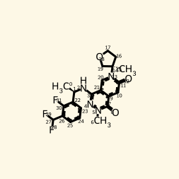 C[C@@H](Nc1nn(C)c(=O)c2cc(=O)n([C@]3(C)CCOC3)cc12)c1cccc(C(F)F)c1F